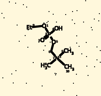 CCOP(=O)(O)OC[N+](C)(C)C